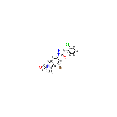 CC1(n2cc3cc(NC(=O)Cc4ccccc4Cl)cc(Br)c3c2)COC1